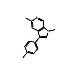 Cc1ccc(-c2cn(C)c3cnc(Cl)cc23)cc1